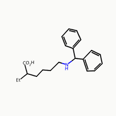 CCC(CCCCNC(c1ccccc1)c1ccccc1)C(=O)O